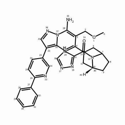 COCc1c(C2CC3CC[C@H](C2)N3C(=O)c2nnc[nH]2)nc2c(-c3ccc(-c4ccccc4)nc3)cnn2c1N